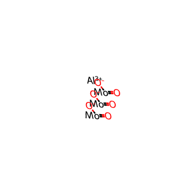 [Al+3].[O]=[Mo][O-].[O]=[Mo][O-].[O]=[Mo][O-]